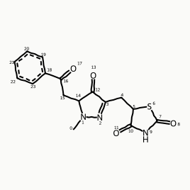 CN1N=C(CC2SC(=O)NC2=O)C(=O)C1CC(=O)c1ccccc1